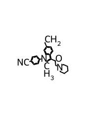 C=Cc1ccc2c(C(=O)CN3CCCCC3)c(C)n(-c3ccc(C#N)cc3)c2c1